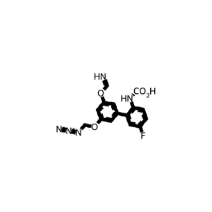 [N-]=[N+]=NCOc1cc(OC=N)cc(-c2cc(F)ccc2NC(=O)O)c1